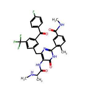 CNC(=O)c1ccc(C)c(-c2nc(Cc3cc(C(=O)c4ccc(F)cc4)cc(C(F)(F)F)c3)c(NC(=O)[C@H](C)NC)c(=O)[nH]2)c1